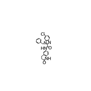 O=C1CCc2cc(NC(=O)c3nc4ccc(Cl)cc4n3Cc3ccccc3)ccc2N1